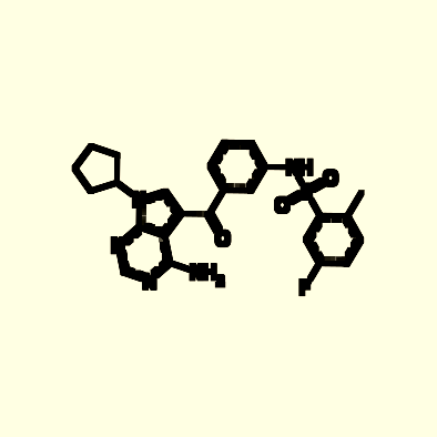 Cc1ccc(F)cc1S(=O)(=O)Nc1cccc(C(=O)c2cn(C3CCCC3)c3ncnc(N)c23)c1